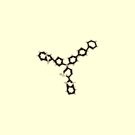 C/C=C(\C=C/C(I)c1nc2ccccc2s1)N(c1ccc(-c2ccc(C3=CCCCC3)cc2)cc1)c1ccc(-c2cn3ccccc3n2)cc1